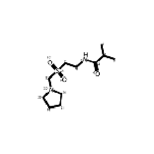 CC(C)C(=O)NCCS(=O)(=O)CN1CCCC1